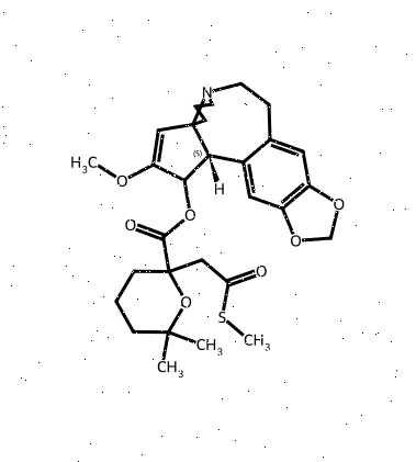 COC1=CC23CCCN2CCc2cc4c(cc2[C@@H]3C1OC(=O)C1(CC(=O)SC)CCCC(C)(C)O1)OCO4